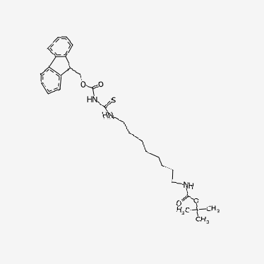 CC(C)(C)OC(=O)NCCCCCCCCNC(=S)NC(=O)OCC1c2ccccc2-c2ccccc21